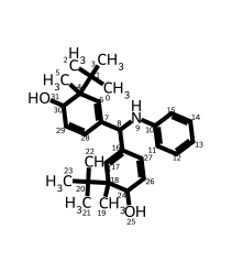 CC(C)(C)C1(C)C=C(C(Nc2ccccc2)C2=CC(C)(C(C)(C)C)C(O)C=C2)C=CC1O